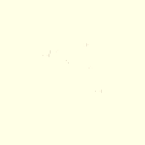 CCc1cccc(CC)c1N(C)C(C)=O